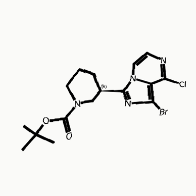 CC(C)(C)OC(=O)N1CCC[C@@H](c2nc(Br)c3c(Cl)nccn23)C1